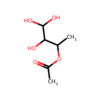 CC(=O)OC(C)C(O)C(O)O